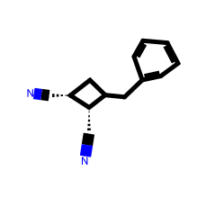 N#C[C@@H]1CC(Cc2ccccc2)[C@@H]1C#N